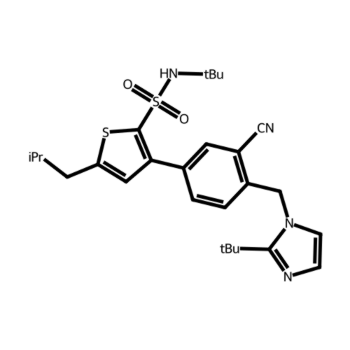 CC(C)Cc1cc(-c2ccc(Cn3ccnc3C(C)(C)C)c(C#N)c2)c(S(=O)(=O)NC(C)(C)C)s1